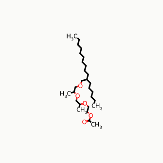 CCCCCCCCCCC(CCCCCC)COCC(C)OCC(C)OCCOC(C)=O